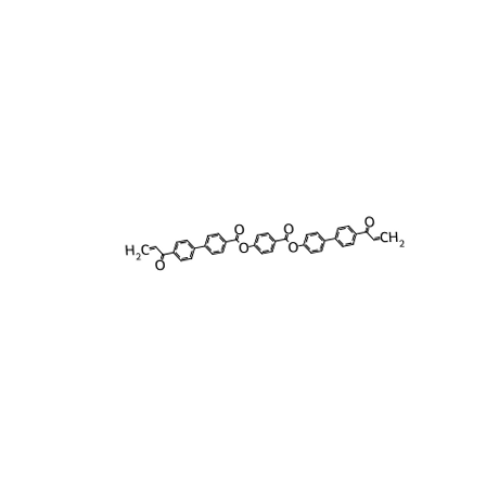 C=CC(=O)c1ccc(-c2ccc(OC(=O)c3ccc(OC(=O)c4ccc(-c5ccc(C(=O)C=C)cc5)cc4)cc3)cc2)cc1